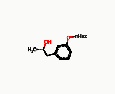 CCCCCCOc1cccc(C[C@H](C)O)c1